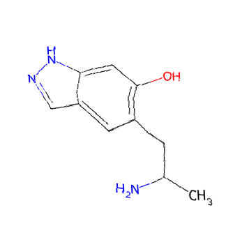 CC(N)Cc1cc2cn[nH]c2cc1O